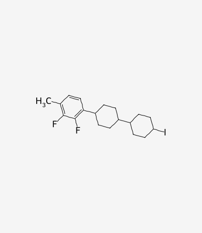 Cc1ccc(C2CCC(C3CCC(I)CC3)CC2)c(F)c1F